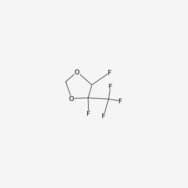 FC1OCOC1(F)C(F)(F)F